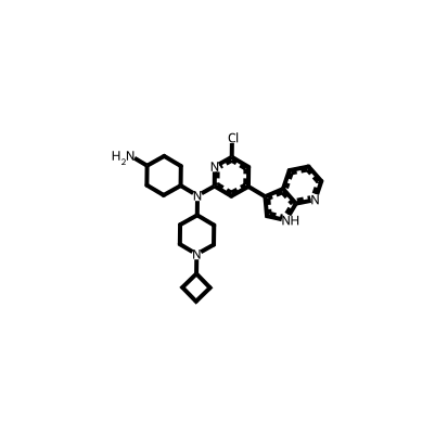 NC1CCC(N(c2cc(-c3c[nH]c4ncccc34)cc(Cl)n2)C2CCN(C3CCC3)CC2)CC1